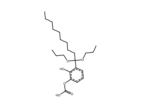 CCCCCCCCCC(OCCC)(OCCC)c1cccc(OC(=O)O)c1O